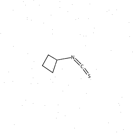 S=C=NC1CCC1